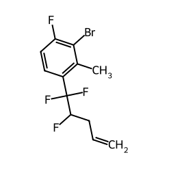 C=CCC(F)C(F)(F)c1ccc(F)c(Br)c1C